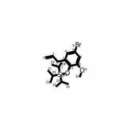 C=CCc1cc(Br)cc(OC)c1O[Si](C(C)C)(C(C)C)C(C)C